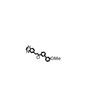 COc1cccc(-c2cccc(C(=O)/C=C/c3ccc4nccnc4c3)c2)c1